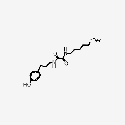 CCCCCCCCCCCCCCCNC(=O)C(=O)NCCCc1ccc(O)cc1